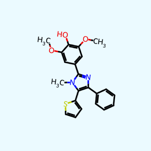 COc1cc(-c2nc(-c3ccccc3)c(-c3cccs3)n2C)cc(OC)c1O